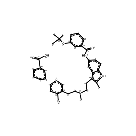 Cc1oc2ccc(NC(=O)c3cccc(OC(C)(C)C)c3)cc2c1CCN(C)CCc1cnccc1Br.O=C(O)c1ccccc1